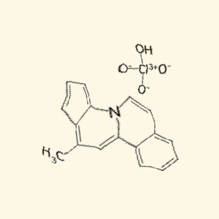 Cc1cc2c3ccccc3ccn2c2cccc1-2.[O-][Cl+3]([O-])([O-])O